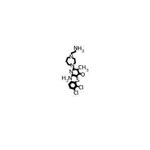 CC1C(=O)C(Sc2cccc(Cl)c2Cl)=C(N)N=C1N1CCCN(CCN)CC1